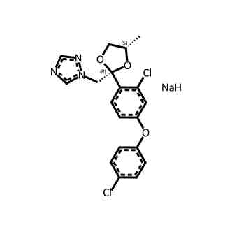 C[C@H]1CO[C@](Cn2cncn2)(c2ccc(Oc3ccc(Cl)cc3)cc2Cl)O1.[NaH]